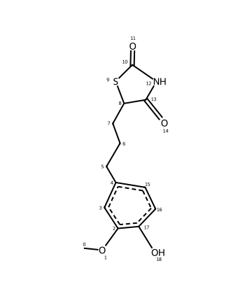 COc1cc(CCCC2SC(=O)NC2=O)ccc1O